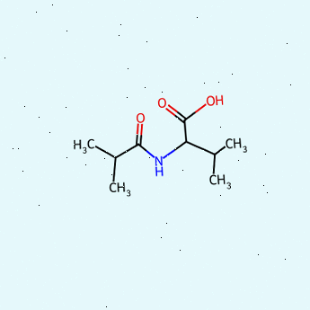 CC(C)C(=O)NC(C(=O)O)C(C)C